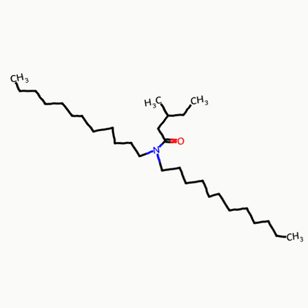 CCCCCCCCCCCCN(CCCCCCCCCCCC)C(=O)CC(C)CC